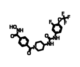 O=C(Nc1ccc(OC(F)(F)F)c(F)c1)NC1CCN(C(=O)c2ccc(C(=O)NO)cc2)CC1